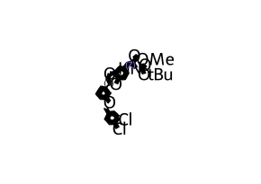 COC(=O)/C(=C/c1ccc2c(c1)OC[C@H](c1cccc(OCc3ccc(Cl)c(Cl)c3)c1)O2)NC(=O)OC(C)(C)C